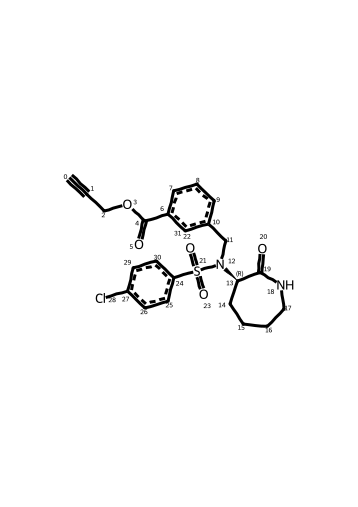 C#CCOC(=O)c1cccc(CN([C@@H]2CCCCNC2=O)S(=O)(=O)c2ccc(Cl)cc2)c1